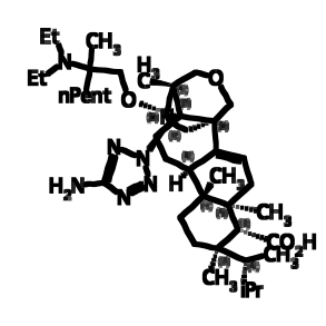 CCCCCC(C)(CO[C@H]1[C@H](n2nnc(N)n2)C[C@@]23COC[C@]1(C)[C@@H]2CC[C@H]1C3=CC[C@@]2(C)[C@H](C(=O)O)[C@@](C)([C@H](C)C(C)C)CC[C@]12C)N(CC)CC